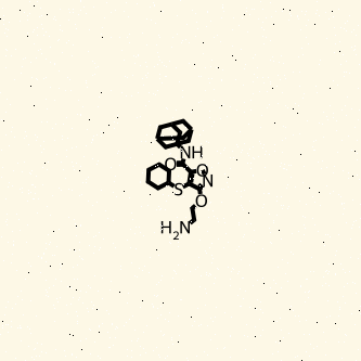 NCCOc1noc(C(=O)NC23CC4CC(CC(C4)C2)C3)c1SC1CCCCC1